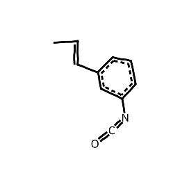 CC=Cc1cccc(N=C=O)c1